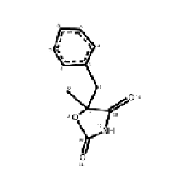 CC1(Cc2ccccc2)OC(=O)NC1=O